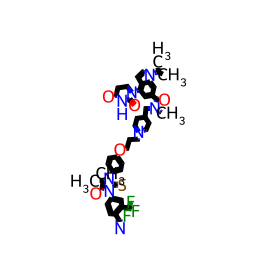 CC(C)n1ccc2c(N3CCC(=O)NC3=O)cc(C(=O)N(C)CC3CCN(CCCOc4ccc(N5C(=S)N(c6ccc(C#N)c(C(F)(F)F)c6)C(=O)C5(C)C)cc4)CC3)cc21